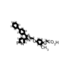 Cc1cc(OCc2nc(-c3ccc(F)nc3)c(-c3ccc(-c4ccccc4)cc3)s2)ccc1OCC(=O)O